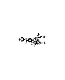 CCC[C@@H](CCO)Nc1nc(N)nc2c(F)nn(Cc3ccc(C(=O)NC4CCN(C)CC4)cc3OC)c12